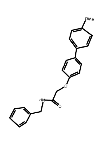 COc1ccc(-c2ccc(OCC(=O)NCc3ccccc3)cc2)cc1